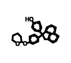 Oc1ccc(C2(c3ccc(OC4CCCCO4)cc3)Cc3cccc4cccc2c34)cc1